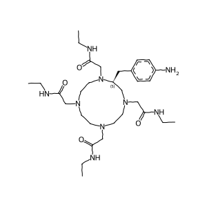 CCNC(=O)CN1CCN(CC(=O)NCC)CCN(CC(=O)NCC)[C@@H](Cc2ccc(N)cc2)CN(CC(=O)NCC)CC1